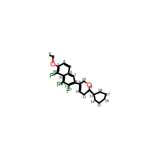 CCOc1ccc2cc(C3=CCC(C4CCCCC4)OC3)c(F)c(F)c2c1F